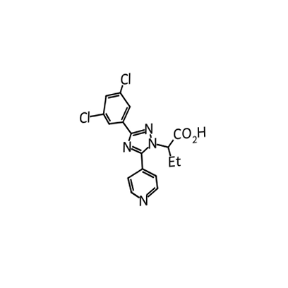 CCC(C(=O)O)n1nc(-c2cc(Cl)cc(Cl)c2)nc1-c1ccncc1